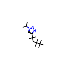 CC(C)n1cc(C(C)(C)CC(C)(C)C(C)(C)C)nn1